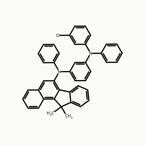 CC1(C)c2ccccc2-c2c(N(c3ccccc3)c3cccc(N(c4ccccc4)c4cccc(Cl)c4)c3)cc3ccccc3c21